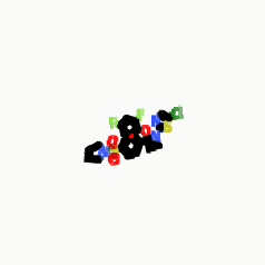 O=S(=O)(c1ccc(C2(Oc3ccc(F)cc3F)C=CN2c2ncc(Cl)s2)cc1)N1CCCC1